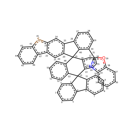 c1ccc2c(c1)-c1ccccc1C21c2ccccc2C2(c3cc4c(cc3-c3cccc(-c5nc6ccccc6o5)c32)sc2ccccc24)c2ccccc21